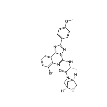 COc1ccc(-c2nc3c4cccc(Br)c4nc(N[C@H](C)C(=O)N4C[C@H]5C[C@@H]4CO5)n3n2)cc1